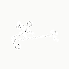 C=C(C)C(=O)OCCN1CC[N+](Cc2ccccc2)=C1CCCCCCCCCCCCCCCC(C)C.O=S(=O)([O-])C=Cc1ccccc1